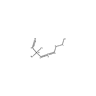 CCCC=C=CC(C)(C)C=O